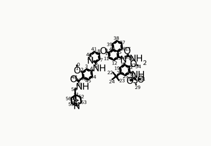 COc1cc(Nc2cc(Oc3ccc(N(C(N)=O)c4cc(C(C)(C)C)cc(NS(C)(=O)=O)c4OC)c4ccccc34)ccn2)ccc1C(=O)NCC12CCN(CC1)CC2